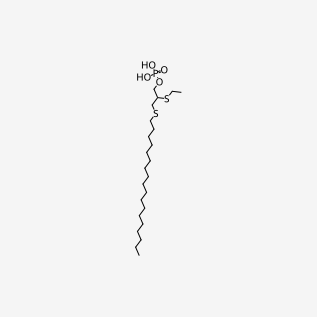 CCCCCCCCCCCCCCCCCCSCC(COP(=O)(O)O)SCC